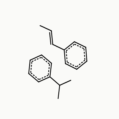 CC(C)c1ccccc1.CC=Cc1ccccc1